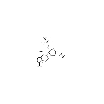 CC(C)(C)[Si](C)(C)OC[C@H]1C[C@@H](O[Si](C)(C)C(C)(C)C)CC[C@]1(C)C1CC[C@]2(C)C(=C(Cl)Cl)CCC2[C@@H]1CO